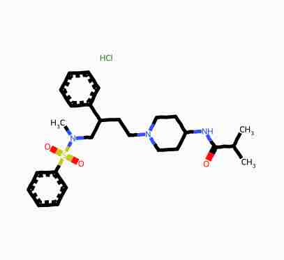 CC(C)C(=O)NC1CCN(CCC(CN(C)S(=O)(=O)c2ccccc2)c2ccccc2)CC1.Cl